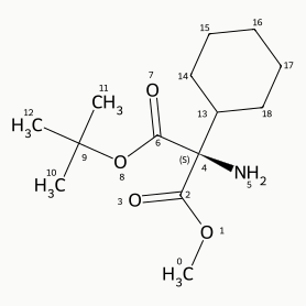 COC(=O)[C@](N)(C(=O)OC(C)(C)C)C1CCCCC1